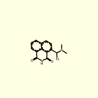 CCC(c1ccc2cccc3c2c1C(=O)NC3=O)N(C)C